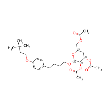 CC(=O)OC[C@@H]1C[C@H](OC(C)=O)[C@@H](OC(C)=O)[C@H](OCCCCc2ccc(OCCC(C)(C)C)cc2)O1